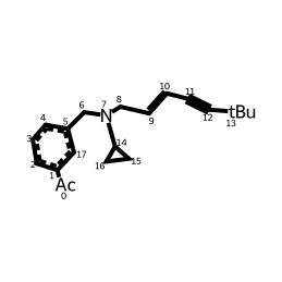 CC(=O)c1cccc(CN(CC=CC#CC(C)(C)C)C2CC2)c1